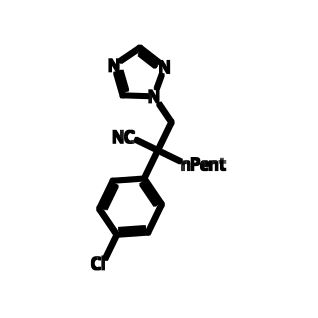 CCCCCC(C#N)(Cn1cncn1)c1ccc(Cl)cc1